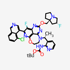 C[C@H](c1cccnc1NC(=O)OC(C)(C)C)N1CCOc2nc(-c3cncc4cccc(Cl)c34)c(F)c3nc(OC[C@@]45CCCN4C[C@H](F)C5)nc1c23